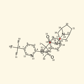 CC(C)(Oc1ccc(C(F)(F)F)cn1)C(=O)NC1CC2CCC(C1)N2c1ccc(S(C)(=O)=O)cc1